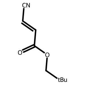 CC(C)(C)COC(=O)C=CC#N